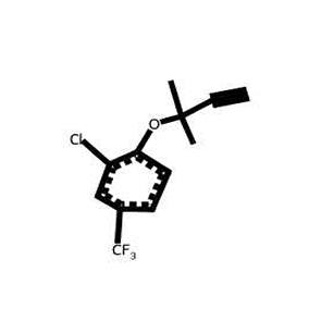 C#CC(C)(C)Oc1ccc(C(F)(F)F)cc1Cl